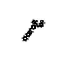 Cc1cccc(CN(Cc2ncc[nH]2)C2CCC(CN3CCC4(CCN(C5CCCCC5)CC4)C3)CC2)n1